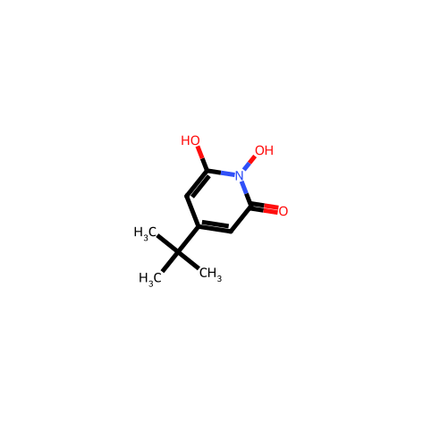 CC(C)(C)c1cc(O)n(O)c(=O)c1